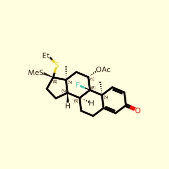 CCS[C@@]1(SC)CC[C@H]2[C@@H]3CCC4=CC(=O)C=C[C@]4(C)[C@@]3(F)[C@@H](OC(C)=O)C[C@@]21C